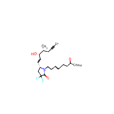 CCC#CC[C@@H](C)[C@@H](O)/C=C/[C@H]1CC(F)(F)C(=O)N1CCCCCCC(=O)OC